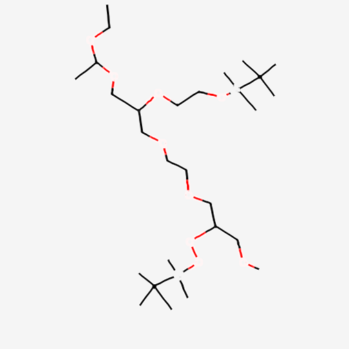 CCOC(C)OCC(COCCOCC(COC)OO[Si](C)(C)C(C)(C)C)OCCO[Si](C)(C)C(C)(C)C